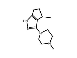 C[C@@H]1CCc2[nH]nc(N3CCN(C)CC3)c21